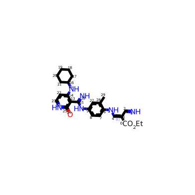 CCOC(=O)/C(C=N)=C/Nc1ccc(NC(=N)c2c(NC3CCCCC3)cc[nH]c2=O)cc1C